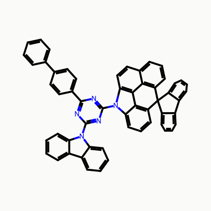 c1ccc(-c2ccc(-c3nc(-n4c5ccccc5c5ccccc54)nc(-n4c5cccc6c5c5c7c(cccc7ccc54)C64c5ccccc5-c5ccccc54)n3)cc2)cc1